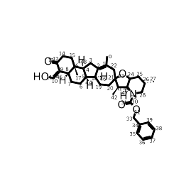 CC1=C2C[C@H]3[C@@H](CC[C@@H]4/C(=C/O)C(=O)CC[C@@]43C)[C@@H]2CCC2(C1)OC1C[C@H](C)CN(C(=O)OCc3ccccc3)[C@H]1[C@H]2C